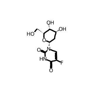 O=c1[nH]c(=O)n([C@H]2C[C@@H](O)[C@@H](O)[C@@H](CO)O2)cc1F